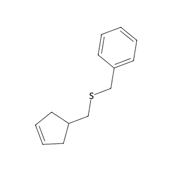 C1=CCC(CSCc2ccccc2)C1